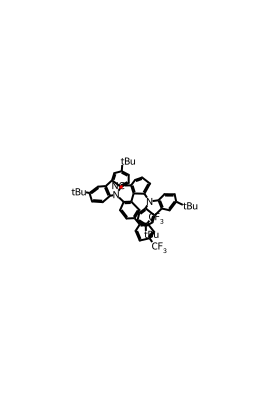 CC(C)(C)c1ccc2c(c1)c1cc(C(C)(C)C)ccc1n2-c1ccc(-c2ccc(C(F)(F)F)cc2C(F)(F)F)cc1-c1c(C#N)cccc1-n1c2ccc(C(C)(C)C)cc2c2cc(C(C)(C)C)ccc21